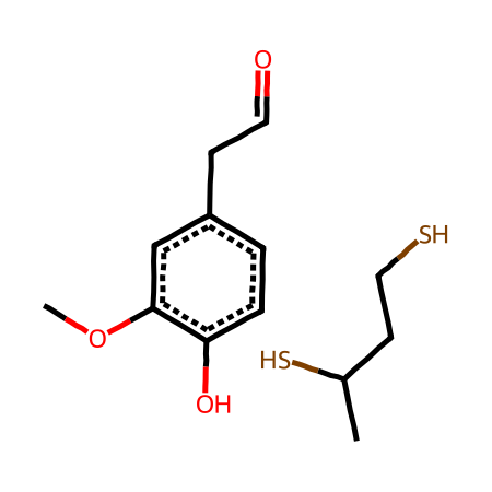 CC(S)CCS.COc1cc(CC=O)ccc1O